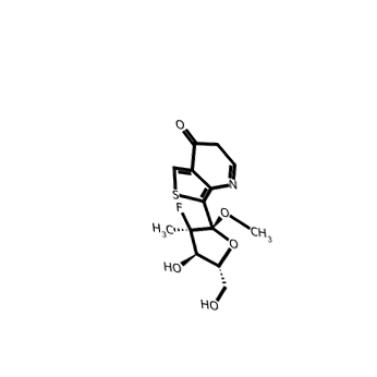 CO[C@@]1(c2scc3c2N=CCC3=O)O[C@H](CO)[C@@H](O)[C@@]1(C)F